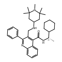 C[C@H](NC(=O)c1c(CNC2CC(C)(C)N(C)C(C)(C)C2)c(-c2ccccc2)nc2ccccc12)C1CCCCC1